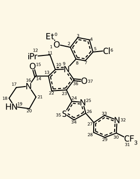 CCOc1ccc(Cl)cc1-n1c(CC(C)C)c(C(=O)N2CCNCC2)cc(-c2nc(-c3ccc(C(F)(F)F)nc3)cs2)c1=O